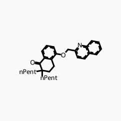 CCCCCC1(CCCCC)CCc2c(OCc3ccc4ccccc4n3)cccc2C1=O